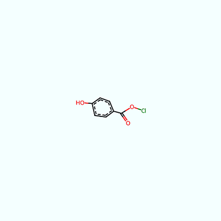 O=C(OCl)c1ccc(O)cc1